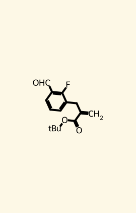 C=C(Cc1cccc(C=O)c1F)C(=O)OC(C)(C)C